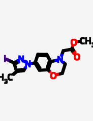 COC(=O)CN1CCOc2cc(-n3cc(C)c(I)n3)ccc21